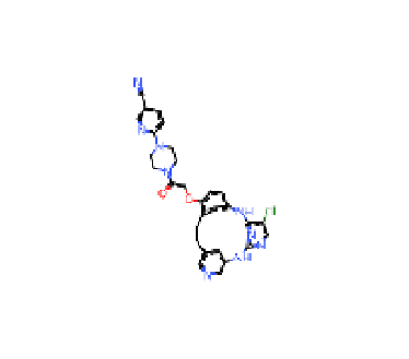 N#Cc1ccc(N2CCN(C(=O)COc3ccc4cc3CCc3cncc(c3)Nc3ncc(Cl)c(n3)N4)CC2)nc1